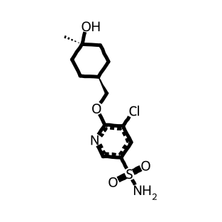 C[C@]1(O)CC[C@@H](COc2ncc(S(N)(=O)=O)cc2Cl)CC1